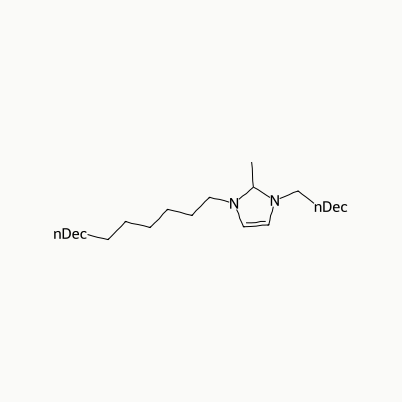 CCCCCCCCCCCCCCCCN1C=CN(CCCCCCCCCCC)C1C